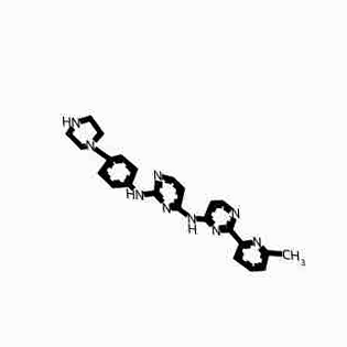 Cc1cccc(-c2nccc(Nc3ccnc(Nc4ccc(N5CCNCC5)cc4)n3)n2)n1